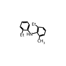 CCc1ccccc1Nc1c(C)cccc1CC